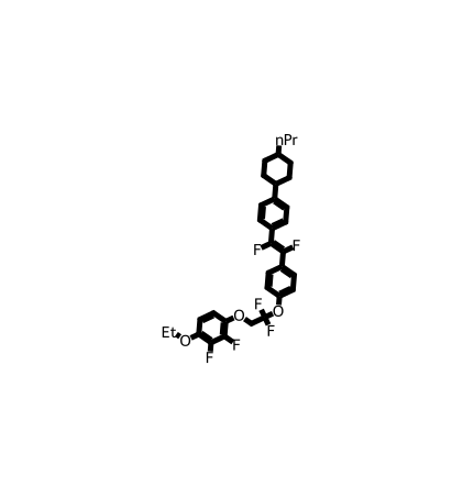 CCCC1CCC(c2ccc(/C(F)=C(\F)c3ccc(OC(F)(F)COc4ccc(OCC)c(F)c4F)cc3)cc2)CC1